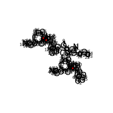 CCOc1ccc(C2(C(=O)OC(C#N)c3cccc(Oc4ccccc4)c3)CC2(Cl)Cl)cc1.CC[C@H]1CCC[C@H](O[C@H]2CC[C@H](N(C)C)[C@@H](C)O2)[C@@H](C)C(=O)C2=C[C@@H]3[C@@H](C=C(C)[C@@H]4C[C@@H](O[C@@H]5O[C@@H](C)[C@H](OC)[C@@H](OC)[C@H]5OC)C[C@@H]34)[C@@H]2CC(=O)O1.CC[C@H]1CCC[C@H](O[C@H]2CC[C@H](N(C)C)[C@@H](C)O2)[C@@H](C)C(=O)C2=C[C@@H]3[C@@H](C=C[C@@H]4C[C@@H](O[C@@H]5O[C@@H](C)[C@H](OC)[C@@H](OC)[C@H]5OC)C[C@@H]34)[C@@H]2CC(=O)O1